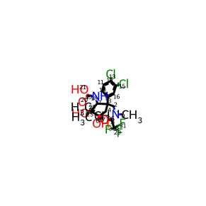 CN(CC(CC(O)CO)(c1ccc(Cl)c(Cl)c1)C(NC(=O)O)C(C)(C)C)C(=O)C(F)(F)F